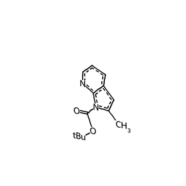 Cc1cc2cccnc2n1C(=O)OC(C)(C)C